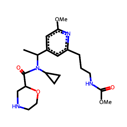 COC(=O)NCCCc1cc(C(C)N(C(=O)C2CNCCO2)C2CC2)cc(OC)n1